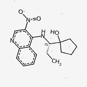 CC[C@H](Nc1c([N+](=O)[O-])cnc2ccccc12)C1(O)CCCC1